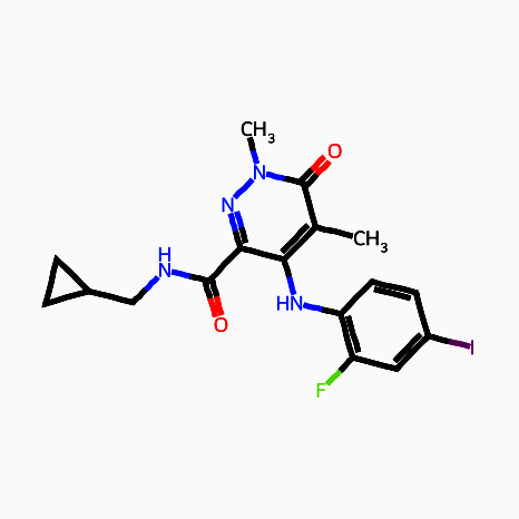 Cc1c(Nc2ccc(I)cc2F)c(C(=O)NCC2CC2)nn(C)c1=O